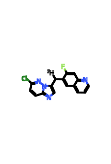 [2H]C(c1cc2cccnc2cc1F)c1cnc2ccc(Cl)nn12